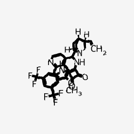 C=C[C@@H]1C[N@]2CC[C@H]1C[C@H]2C(Nc1c(Nc2cc(C(F)(F)F)cc(C(F)(F)F)c2)c(=O)c1=O)c1ccnc2ccc(OC)cc12